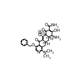 CN(C)c1ncc(OCc2ccccc2)c2c1C[C@H]1C[C@H]3[C@H](N)C(O)=C(C(N)=O)C(=O)[C@@]3(O)C(O)=C1C2=O